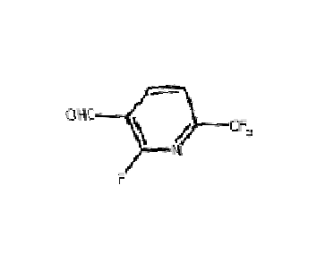 O=Cc1ccc(C(F)(F)F)nc1F